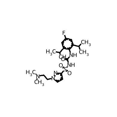 CC(C)c1cc(F)cc(C(C)C)c1NC(=O)NS(=O)(=O)c1ccn(CCN(C)C)n1